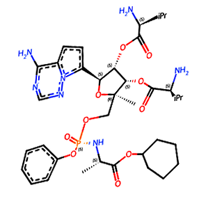 CC(C)[C@H](N)C(=O)O[C@H]1[C@H](c2ccc3c(N)ncnn23)O[C@](C)(CO[P@@](=O)(N[C@@H](C)C(=O)OC2CCCCC2)Oc2ccccc2)[C@H]1OC(=O)[C@@H](N)C(C)C